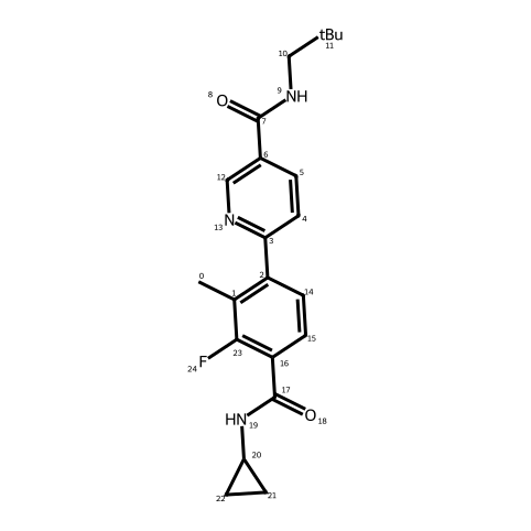 Cc1c(-c2ccc(C(=O)NCC(C)(C)C)cn2)ccc(C(=O)NC2CC2)c1F